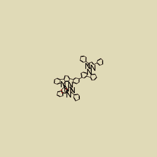 c1ccc(-c2cc(-c3ccccc3)nc(-n3c4ccccc4c4cc(-c5ccc6c(c5)c5ccc7c8ccccc8n(-c8ccccc8)c7c5n6-c5nc(-c6ccccc6)nc(-c6ccccc6)n5)ccc43)n2)cc1